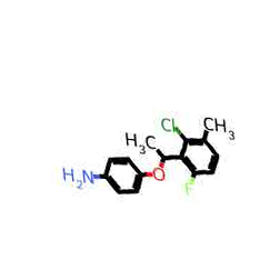 Cc1ccc(F)c(C(C)Oc2ccc(N)cc2)c1Cl